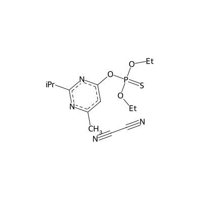 CCOP(=S)(OCC)Oc1cc(C)nc(C(C)C)n1.N#CC#N